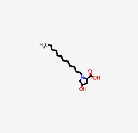 CCCCCCCCCCCCN1CC(O)CC1C(=O)O